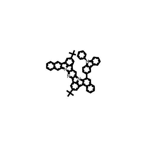 CC(C)(C)c1cc2c3cc4ccccc4cc3n3c4nc5c6cc(C(C)(C)C)cc7c8c9ccccc9cc(-c9ccc%10c(c9)c9ccccc9n%10-c9ccccc9)c8n(c5cc4c(c1)c23)c67